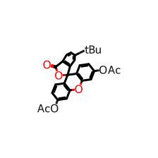 CC(=O)Oc1ccc2c(c1)Oc1cc(OC(C)=O)ccc1C21OC(=O)c2ccc(C(C)(C)C)cc21